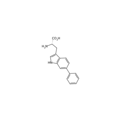 N[C@@H](Cc1c[nH]c2cc(-c3ccccc3)ccc12)C(=O)O